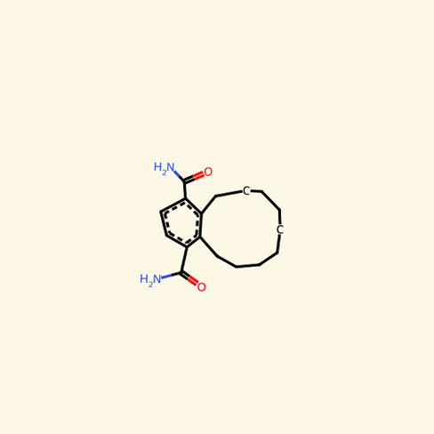 NC(=O)c1ccc(C(N)=O)c2c1CCCCCCCCC2